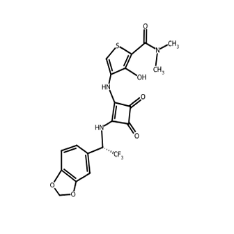 CN(C)C(=O)c1scc(Nc2c(N[C@@H](c3ccc4c(c3)OCO4)C(F)(F)F)c(=O)c2=O)c1O